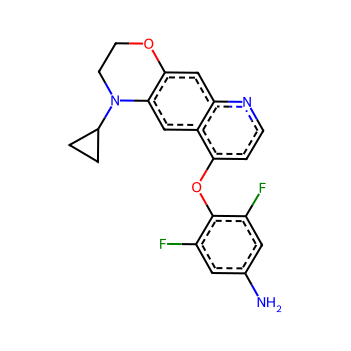 Nc1cc(F)c(Oc2ccnc3cc4c(cc23)N(C2CC2)CCO4)c(F)c1